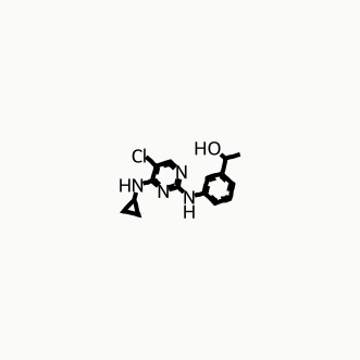 CC(O)c1cccc(Nc2ncc(Cl)c(NC3CC3)n2)c1